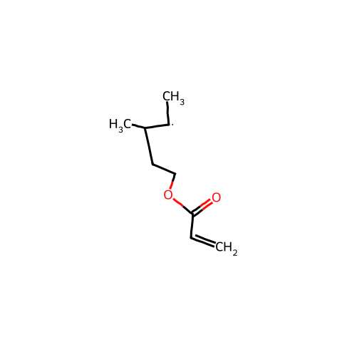 C=CC(=O)OCCC(C)[CH]C